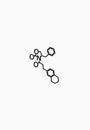 O=C(CCc1ccc2c(c1)CCCC2)N1C(=O)OCC1Cc1ccccc1